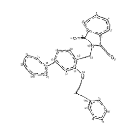 O=C1c2ccccc2C(=O)N1Cc1ccc(-c2ccccc2)cc1OCc1ccccc1